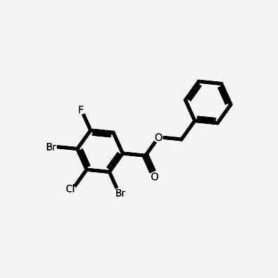 O=C(OCc1ccccc1)c1cc(F)c(Br)c(Cl)c1Br